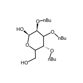 CCCCOC1[C@H](OCCCC)C(CO)O[C@@H](O)[C@H]1OCCCC